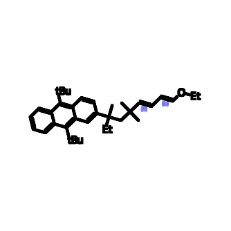 CCO/C=C/C=C/C(C)(C)CC(C)(CC)c1ccc2c(C(C)(C)C)c3ccccc3c(C(C)(C)C)c2c1